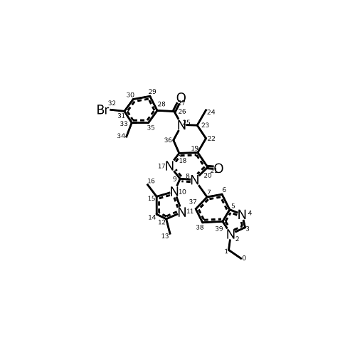 CCn1cnc2cc(-n3c(-n4nc(C)cc4C)nc4c(c3=O)CC(C)N(C(=O)c3ccc(Br)c(C)c3)C4)ccc21